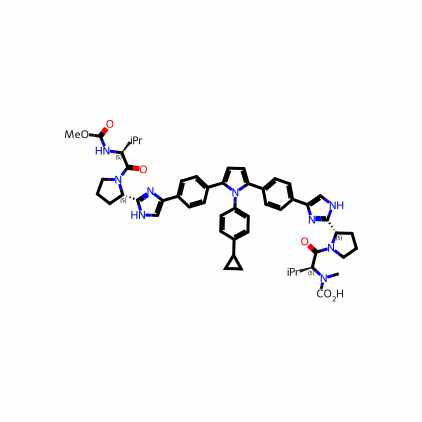 COC(=O)N[C@H](C(=O)N1CCC[C@H]1c1nc(-c2ccc(-c3ccc(-c4ccc(-c5c[nH]c([C@@H]6CCCN6C(=O)[C@H](C(C)C)N(C)C(=O)O)n5)cc4)n3-c3ccc(C4CC4)cc3)cc2)c[nH]1)C(C)C